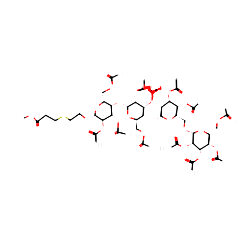 COC(=O)CCSCCO[C@@H]1O[C@H](COC(C)=O)[C@@H](O[C@H]2O[C@H](COC(C)=O)[C@@H](O[C@H]3O[C@H](CO[C@H]4O[C@H](COC(C)=O)[C@@H](OC(C)=O)[C@H](OC(C)=O)[C@H]4OC(C)=O)[C@@H](OC(C)=O)[C@H](OC(C)=O)[C@H]3OC(C)=O)[C@H](OC(C)=O)[C@H]2OC(C)=O)[C@H](OC(C)=O)[C@H]1OC(C)=O